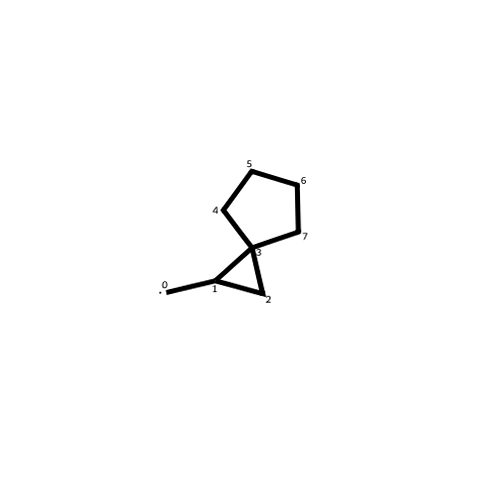 [CH2]C1CC12CCCC2